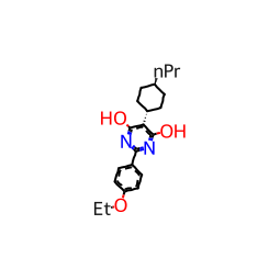 CCC[C@H]1CC[C@H](c2c(O)nc(-c3ccc(OCC)cc3)nc2O)CC1